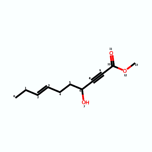 CCC=CCCC(O)C#CC(=O)OC